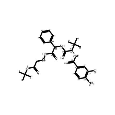 CC(C)(C)OC(=O)CNNC(=O)C(NC(=O)[C@@H](NC(=O)c1ccc(N)c(Cl)c1)C(C)(C)C)c1ccccc1